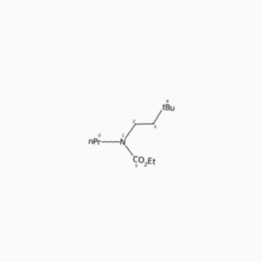 CCCN(CCC(C)(C)C)C(=O)OCC